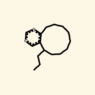 CCCC1CCCCCCCCc2ncncc21